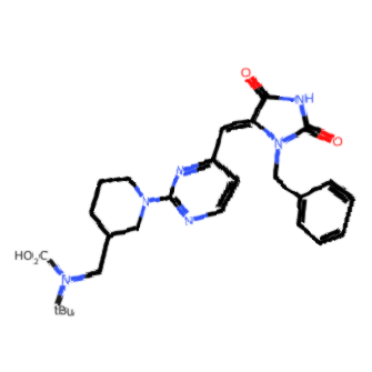 CC(C)(C)N(CC1CCCN(c2nccc(C=C3C(=O)NC(=O)N3Cc3ccccc3)n2)C1)C(=O)O